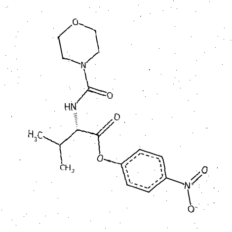 CC(C)[C@H](NC(=O)N1CCOCC1)C(=O)Oc1ccc([N+](=O)[O-])cc1